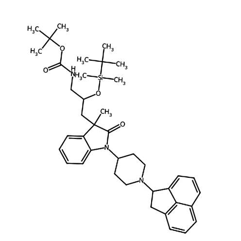 CC(C)(C)OC(=O)NCC(CC1(C)C(=O)N(C2CCN(C3Cc4cccc5cccc3c45)CC2)c2ccccc21)O[Si](C)(C)C(C)(C)C